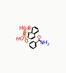 NC(=O)c1ccccc1.O=S(=O)(O)c1ccc2ccccc2c1S(=O)(=O)O